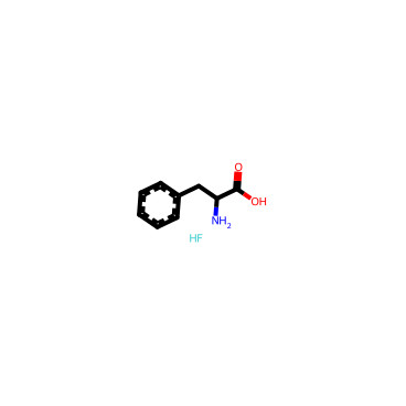 F.NC(Cc1ccccc1)C(=O)O